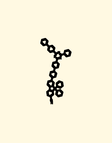 N#Cc1ccc2c(c1)C(c1ccccc1)(c1ccccc1)c1cc(-c3ccc(-c4ccc(-c5nc(-c6ccccc6)nc(-c6ccc(-c7ccccc7)cc6)n5)cc4)cc3)ccc1-2